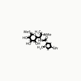 CCC[C@@H]1C[C@@H](C(=O)N[C@@H](C2OC(SC)C(O)C(O)C2O)[C@H](C)NC)N(C)C1